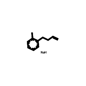 C=CCCc1ccccc1C.[NaH]